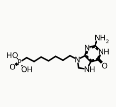 Nc1nc2c(c(=O)[nH]1)NCN2CCCCCCCP(=O)(O)O